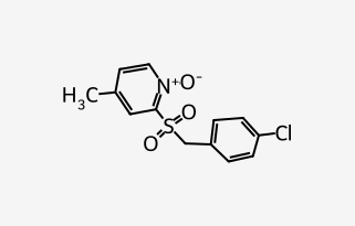 Cc1cc[n+]([O-])c(S(=O)(=O)Cc2ccc(Cl)cc2)c1